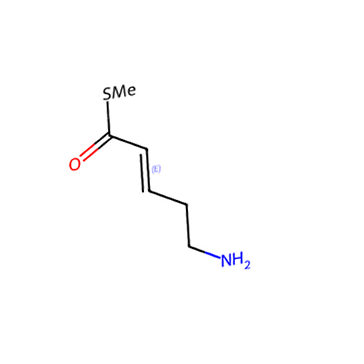 CSC(=O)/C=C/CCN